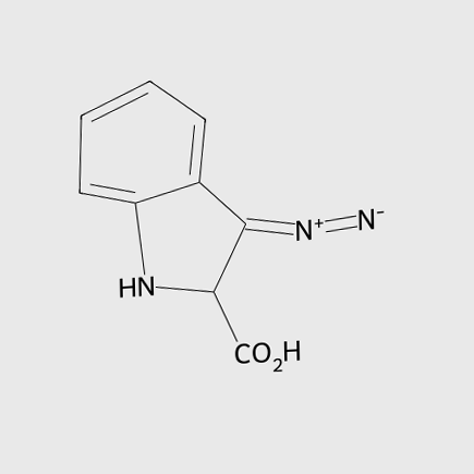 [N-]=[N+]=C1c2ccccc2NC1C(=O)O